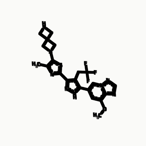 COc1cc(-c2[nH]nc(-c3nc(C)c(N4CC5(CNC5)C4)s3)c2CC(F)(F)F)cn2ncnc12